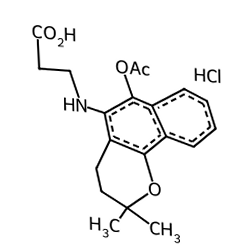 CC(=O)Oc1c(NCCC(=O)O)c2c(c3ccccc13)OC(C)(C)CC2.Cl